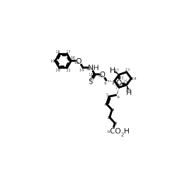 O=C(O)CCC/C=C\C[C@@H]1[C@H](COC(=S)NCOc2ccccc2)[C@@H]2CC[C@H]1O2